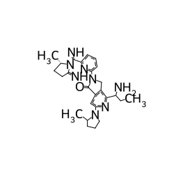 CCC(N)c1nc(N2CCCC2C)cc2c1CN(c1cccc(C(=N)N3C(=N)CC[C@@H]3C)n1)C2=O